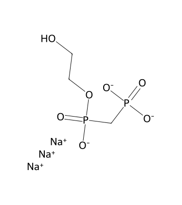 O=P([O-])([O-])CP(=O)([O-])OCCO.[Na+].[Na+].[Na+]